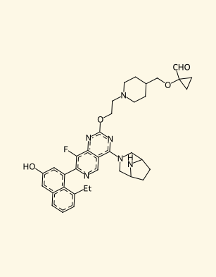 CCc1cccc2cc(O)cc(-c3ncc4c(N5CC6CCC(C5)N6)nc(OCCN5CCC(COC6(C=O)CC6)CC5)nc4c3F)c12